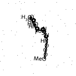 COCCOCCOCCOCCNCc1ccc(-c2cc3nccc(Oc4ccc(NC(=O)Nc5cccc(S(C)(=O)=O)c5)cc4F)c3s2)nc1